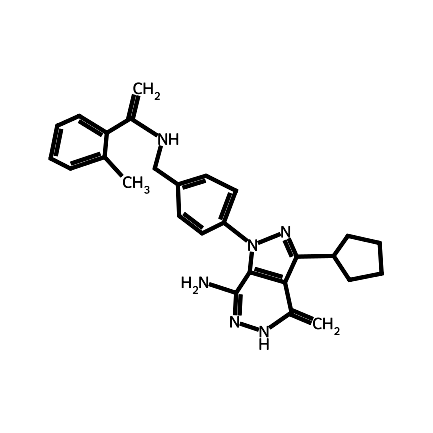 C=C(NCc1ccc(-n2nc(C3CCCC3)c3c2C(N)=NNC3=C)cc1)c1ccccc1C